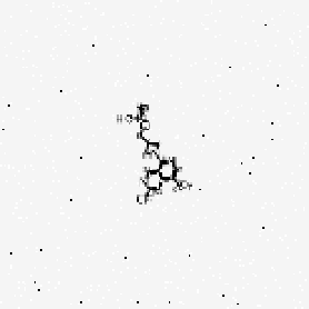 CC(C)c1cnc(N2CC(CO[PH](=O)O)C2)c2cnc(Cl)cc12